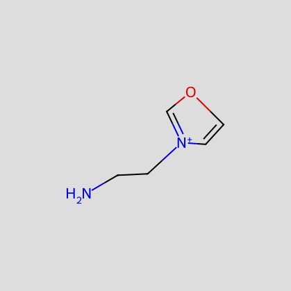 NCC[n+]1ccoc1